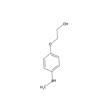 CBc1ccc(OCCO)cc1